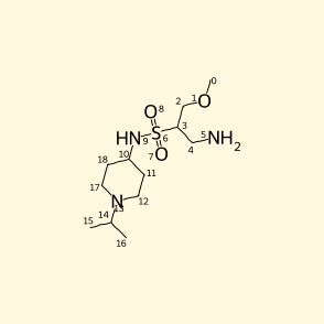 COCC(CN)S(=O)(=O)NC1CCN(C(C)C)CC1